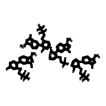 Cn1nc(N)c2ccc(-c3c(F)cccc3OCC(F)(F)C(F)(F)F)cc21.Cn1nc(N)c2ccc(-c3c(F)cccc3OCC(F)(F)F)cc21.Cn1nc(N)c2ccc(-c3ccc(F)cc3OCC(F)(F)C(F)(F)F)cc21.Cn1nc(N)c2ccc(-c3cccc(F)c3OCC(F)(F)C(F)(F)F)cc21